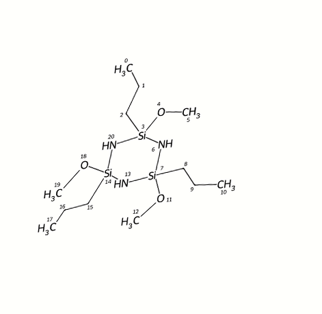 CCC[Si]1(OC)N[Si](CCC)(OC)N[Si](CCC)(OC)N1